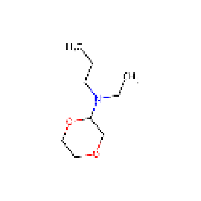 CCCN(CC)C1COCCO1